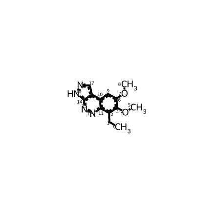 CCc1c(OC)c(OC)cc2c1nnc1[nH]ncc12